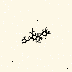 CC1CCCC1COc1cc2ncnc(Nc3ccc(F)c(Cl)c3)c2cc1N